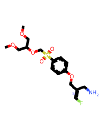 COCC(COC)OCS(=O)(=O)c1ccc(OC/C(=C/F)CN)cc1